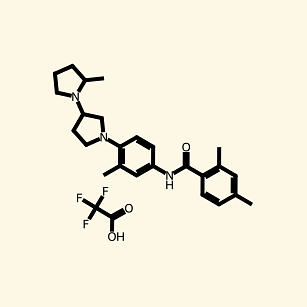 Cc1ccc(C(=O)Nc2ccc(N3CCC(N4CCCC4C)C3)c(C)c2)c(C)c1.O=C(O)C(F)(F)F